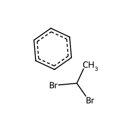 CC(Br)Br.c1ccccc1